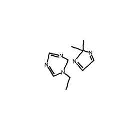 CC1(C)N=CC=N1.CCN1C=NC=NC1